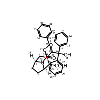 O=C(O)[C@@H]1[C@H]2CC[C@@H](CN1C(=O)C(O)(c1ccccc1)c1ccccc1)N2C(=O)OCc1ccccc1